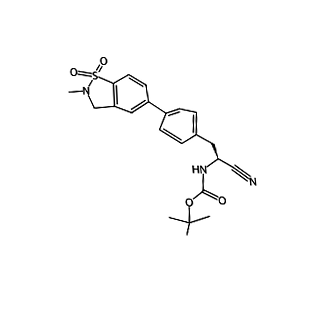 CN1Cc2cc(-c3ccc(C[C@@H](C#N)NC(=O)OC(C)(C)C)cc3)ccc2S1(=O)=O